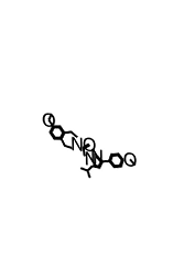 COc1ccc(-c2cc(C(C)C)n(CC(=O)N3CCc4ccc(OC)cc4CC3)n2)cc1